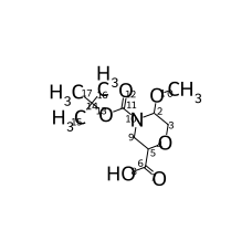 COC1COC(C(=O)O)CN1C(=O)OC(C)(C)C